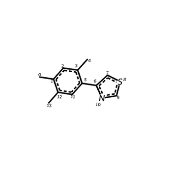 Cc1cc(C)c(-c2cscn2)cc1C